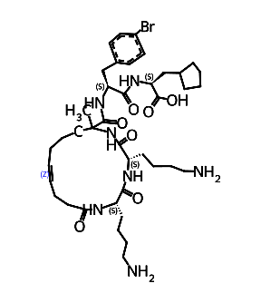 CC1(C(=O)N[C@@H](Cc2ccc(Br)cc2)C(=O)N[C@@H](CC2CCCC2)C(=O)O)CCC/C=C\CCC(=O)N[C@@H](CCCCN)C(=O)N[C@@H](CCCCN)C(=O)N1